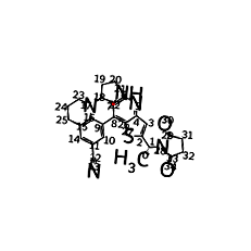 C[C@H](c1cc2nccc(-c3cc(C#N)cc4c3N(C3CCNC3)CCC4)c2s1)N1C(=O)CCC1=O